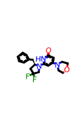 O=c1cc(N2CCOCC2)cc(N2CC(F)(F)C[C@H]2Cc2ccccc2)[nH]1